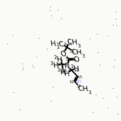 [2H]C([2H])([2H])N(C(=O)OC(C)(C)C)C([2H])([2H])/C=C/C